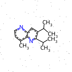 Cc1ccnc2cc(C(C)C)c(C(C)C)nc12